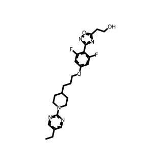 CCc1cnc(N2CCC(CCCOc3cc(F)c(-c4noc(CCO)n4)c(F)c3)CC2)nc1